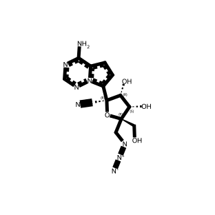 N#C[C@@]1(c2ccc3c(N)ncnn23)O[C@@](CO)(CN=[N+]=[N-])[C@@H](O)[C@H]1O